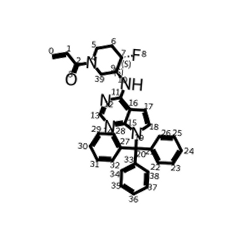 C=CC(=O)N1CC[C@H](F)[C@@H](Nc2ncnc3c2ccn3C(c2ccccc2)(c2ccccc2)c2ccccc2)C1